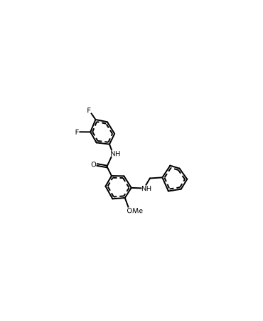 COc1ccc(C(=O)Nc2ccc(F)c(F)c2)cc1NCc1ccccc1